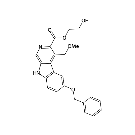 COCc1c(C(=O)OCCO)ncc2[nH]c3ccc(OCc4ccccc4)cc3c12